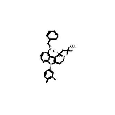 CC[C@]1(CC(C)(C)C(=O)O)OCCc2c1c1c(OCc3ccccc3)cccc1n2-c1ccc(F)c(C)c1